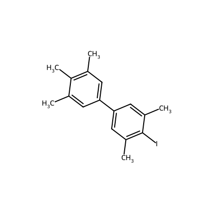 Cc1cc(-c2cc(C)c(I)c(C)c2)cc(C)c1C